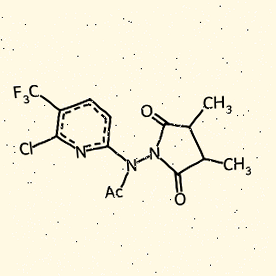 CC(=O)N(c1ccc(C(F)(F)F)c(Cl)n1)N1C(=O)C(C)C(C)C1=O